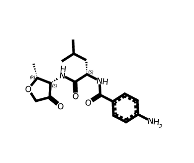 CC(C)C[C@H](NC(=O)c1ccc(N)cc1)C(=O)N[C@@H]1C(=O)CO[C@@H]1C